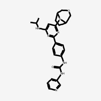 CC(C)Nc1cc(N2C3CCC2COC3)nc(-c2ccc(NC(=O)Nc3cccnc3)cc2)n1